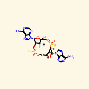 Nc1ncnc2c1ncn2[C@@H]1O[C@@H]2CO[P@@](=O)(S)[C@@H]3[C@H](F)[C@@H](CO[P@@](=O)(S)O[C@@H]1[C@@H]2F)O[C@H]3n1cnc2c(N)ncnc21